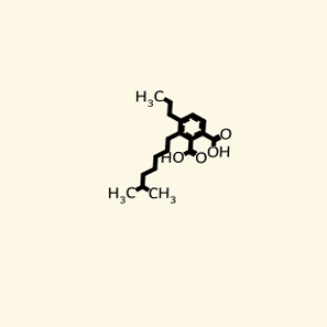 CCCc1ccc(C(=O)O)c(C(=O)O)c1CCCCCC(C)C